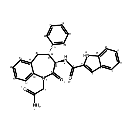 NC(=O)CN1C(=O)[C@H](NC(=O)c2cc3ccccc3[nH]2)[C@@H](c2ccccc2)Cc2ccccc21